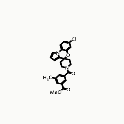 COC(=O)c1cc(C)cc(C(=O)N2CCC3(CC2)Oc2cc(Cl)ccc2-n2cccc23)c1